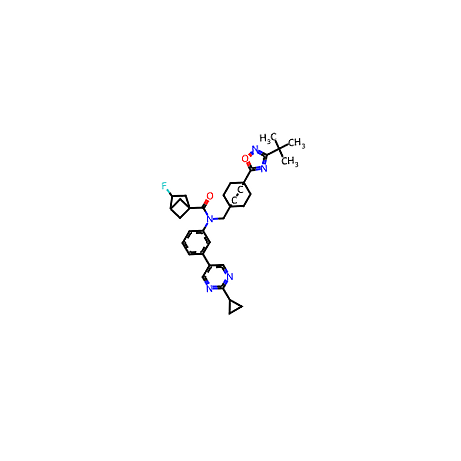 CC(C)(C)c1noc(C23CCC(CN(C(=O)C45CC(F)C(C4)C5)c4cccc(-c5cnc(C6CC6)nc5)c4)(CC2)CC3)n1